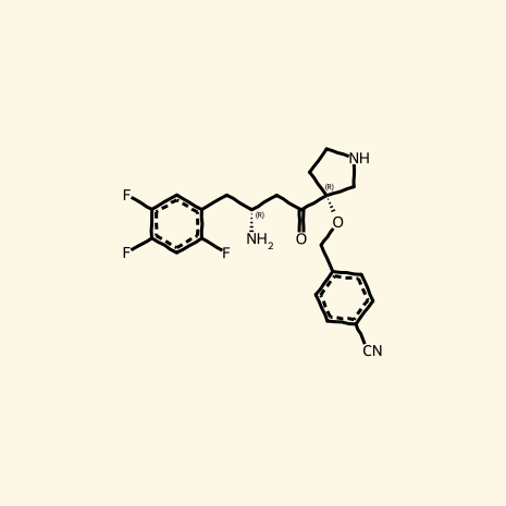 N#Cc1ccc(CO[C@]2(C(=O)C[C@H](N)Cc3cc(F)c(F)cc3F)CCNC2)cc1